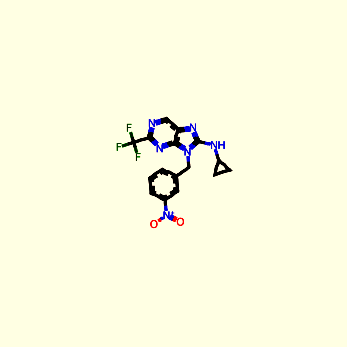 O=[N+]([O-])c1cccc(Cn2c(NC3CC3)nc3cnc(C(F)(F)F)nc32)c1